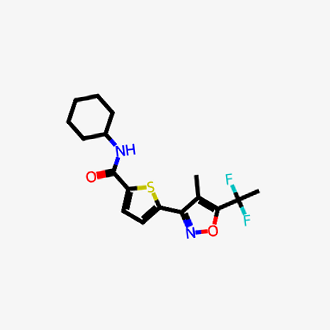 Cc1c(-c2ccc(C(=O)NC3CCCCC3)s2)noc1C(C)(F)F